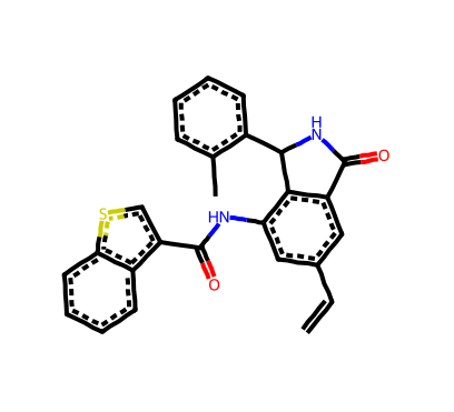 C=Cc1cc(NC(=O)c2csc3ccccc23)c2c(c1)C(=O)NC2c1ccccc1C